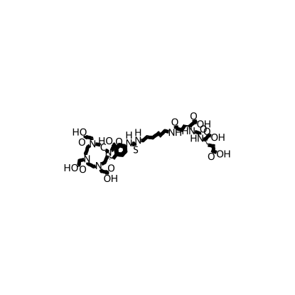 O=C(O)CC[C@H](NC(=O)N[C@@H](CCC(=O)NCCCCCCNC(=S)Nc1ccc(C[C@@H]2CN(CC(=O)O)CCN(CC(=O)O)CCN(CC(=O)O)CCN2CC(=O)O)cc1)C(=O)O)C(=O)O